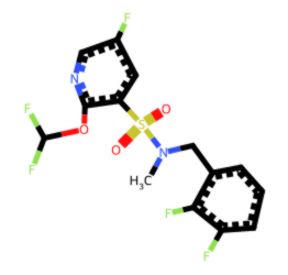 CN(Cc1cccc(F)c1F)S(=O)(=O)c1cc(F)cnc1OC(F)F